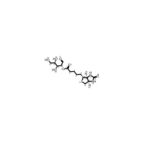 O=C[C@H](OC(=O)CCCC[C@@H]1SC[C@@H]2NC(=O)N[C@@H]21)[C@@H](O)[C@H](O)CO